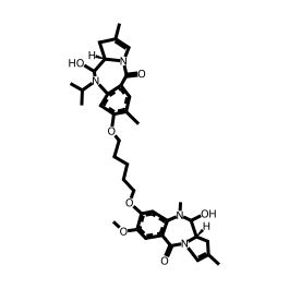 COc1cc2c(cc1OCCCCCOc1cc3c(cc1C)C(=O)N1C=C(C)C[C@H]1C(O)N3C(C)C)N(C)C(O)[C@@H]1CC(C)=CN1C2=O